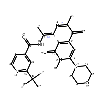 C=C(/C(C)=N\C=C(/C)NC(=O)c1ccnc(C(C)(F)F)c1)c1cc(N2CCOCC2)n(C)c(=O)c1